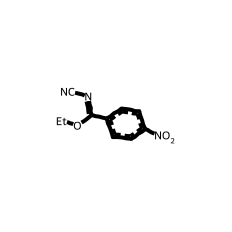 CCOC(=NC#N)c1ccc([N+](=O)[O-])cc1